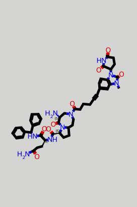 Cn1c(=O)n(C2CCC(=O)NC2=O)c2ccc(C#CCCCC(=O)N3CCC4CC[C@@H](C(=O)N[C@@H](CCC(N)=O)C(=O)NC(c5ccccc5)c5ccccc5)N4C(=O)[C@@H](N)C3)cc21